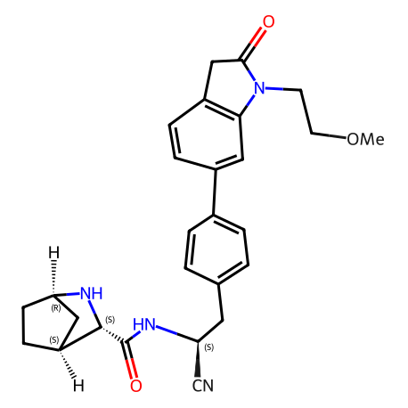 COCCN1C(=O)Cc2ccc(-c3ccc(C[C@@H](C#N)NC(=O)[C@H]4N[C@@H]5CC[C@H]4C5)cc3)cc21